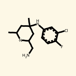 CC1CC(C)(Nc2ccc(F)c(Cl)c2)CC(CN)[N]1